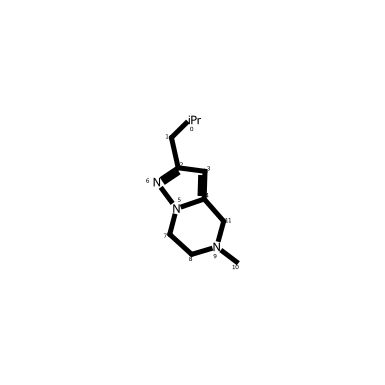 CC(C)Cc1cc2n(n1)CCN(C)C2